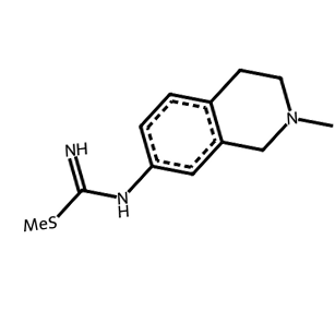 CSC(=N)Nc1ccc2c(c1)CN(C)CC2